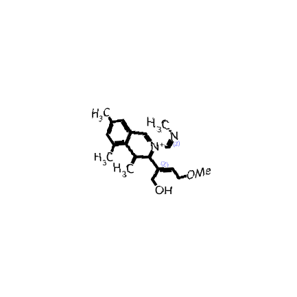 C/N=C\[N+]1=Cc2cc(C)cc(C)c2C(C)C1/C(=C/COC)CO